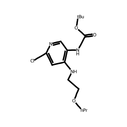 CCCOCCNc1cc(Cl)ncc1NC(=O)OC(C)(C)C